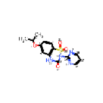 CC(C)Oc1ccc2c(c1)NC(=O)N(c1ncccn1)S2(=O)=O